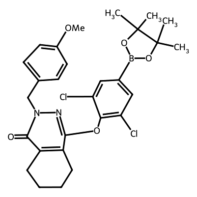 COc1ccc(Cn2nc(Oc3c(Cl)cc(B4OC(C)(C)C(C)(C)O4)cc3Cl)c3c(c2=O)CCCC3)cc1